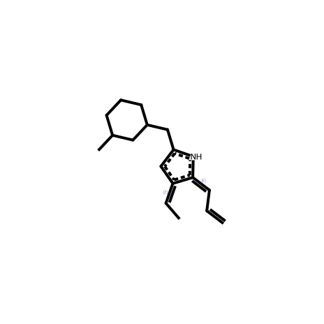 C=C/C=c1/[nH]c(CC2CCCC(C)C2)c/c1=C/C